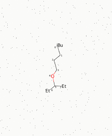 CCC(C)CCCOC(CC)CC